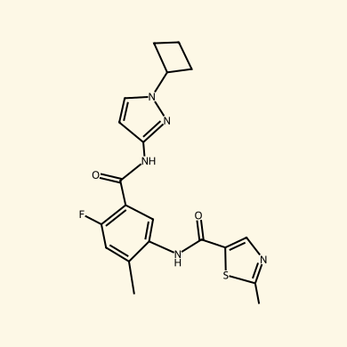 Cc1ncc(C(=O)Nc2cc(C(=O)Nc3ccn(C4CCC4)n3)c(F)cc2C)s1